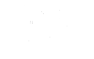 CCOc1c(Cl)nc(Cl)nc1C(=O)O